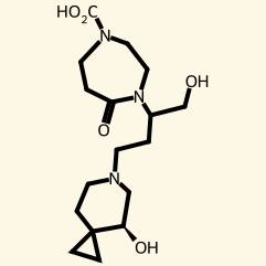 O=C(O)N1CCC(=O)N(C(CO)CCN2CCC3(CC3)[C@H](O)C2)CC1